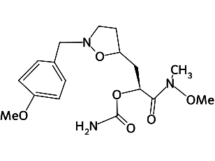 COc1ccc(CN2CCC(C[C@H](OC(N)=O)C(=O)N(C)OC)O2)cc1